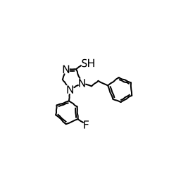 Fc1cccc(N2CN=C(S)N2CCc2ccccc2)c1